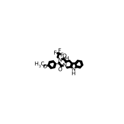 COc1ccc([C@H]2C(=O)N3Cc4[nH]c5ccccc5c4C[C@H]3C(=O)N2CC(F)(F)F)cc1